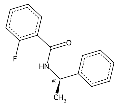 C[C@@H](NC(=O)c1ccccc1F)c1ccccc1